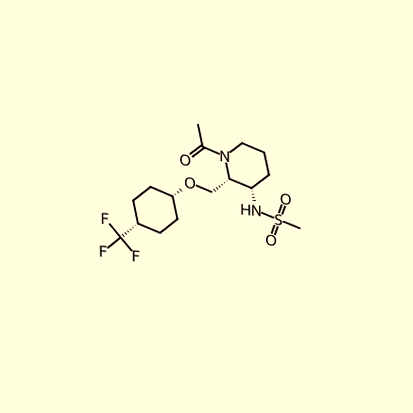 CC(=O)N1CCC[C@H](NS(C)(=O)=O)[C@@H]1CO[C@H]1CC[C@@H](C(F)(F)F)CC1